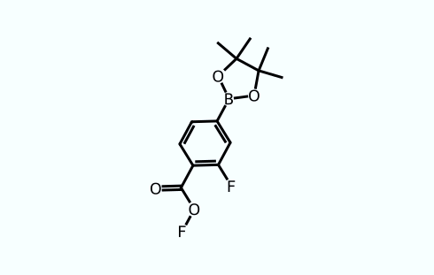 CC1(C)OB(c2ccc(C(=O)OF)c(F)c2)OC1(C)C